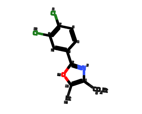 CCOC(=O)c1nc(-c2ccc(Cl)c(Cl)c2)oc1CC